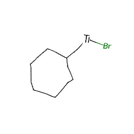 [Br][Ti][CH]1CCCCC1